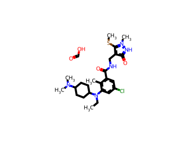 CCN(c1cc(Cl)cc(C(=O)NCc2c(SC)n(C)[nH]c2=O)c1C)C1CCC(N(C)C)CC1.O=CO